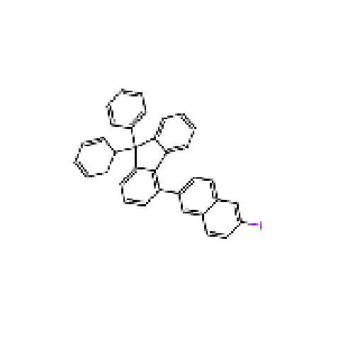 Ic1ccc2cc(-c3cccc4c3-c3ccccc3C4(c3ccccc3)C3C=CC=CC3)ccc2c1